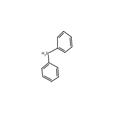 [c]1ccc([SiH2]c2ccccc2)cc1